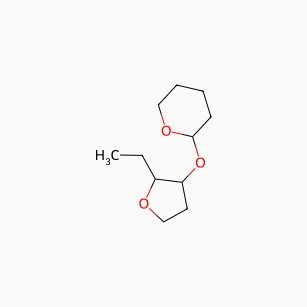 CCC1OCCC1OC1CCCCO1